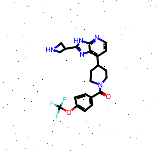 O=C(c1ccc(OC(F)(F)F)cc1)N1CCC(c2ccnc3[nH]c(C4CNC4)nc23)CC1